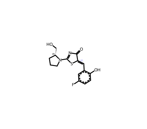 O=C1N=C(N2CCC[C@@H]2CO)S/C1=C\c1cc(F)ccc1O